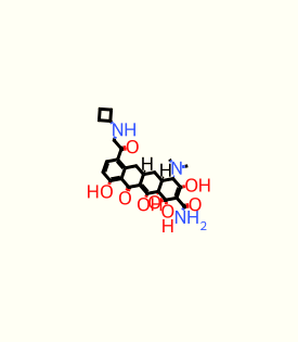 CN(C)[C@@H]1C(O)=C(C(N)=O)C2(O)O[C@@]23C(O)=C2C(=O)c4c(O)ccc(C(=O)CNC5CCC5)c4C[C@H]2C[C@@H]13